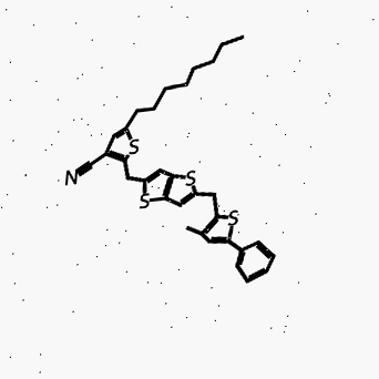 CCCCCCCCc1cc(C#N)c(Cc2cc3sc(Cc4sc(-c5ccccc5)cc4C)cc3s2)s1